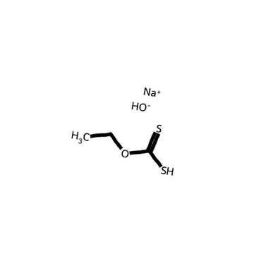 CCOC(=S)S.[Na+].[OH-]